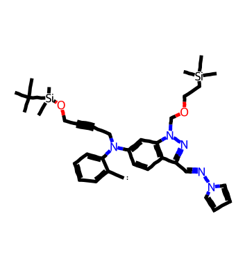 [CH]c1ccccc1N(CC#CCO[Si](C)(C)C(C)(C)C)c1ccc2c(C=Nn3cccc3)nn(COCC[Si](C)(C)C)c2c1